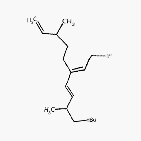 C=CC(C)CCC(C=CC(C)CC(C)(C)C)=CCC(C)C